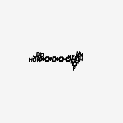 CCC(C(C)O)n1ncn(-c2ccc(N3CCN(c4ccc(-c5ccc(C(F)(F)C(O)(Cn6cncn6)c6ccc(F)cc6F)nc5)cc4)CC3)cc2)c1=O